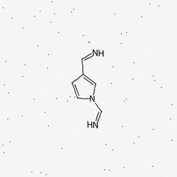 N=Cc1ccn(C=N)c1